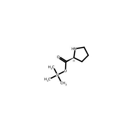 C[Si](C)(C)OC(=O)[C@@H]1CCCN1